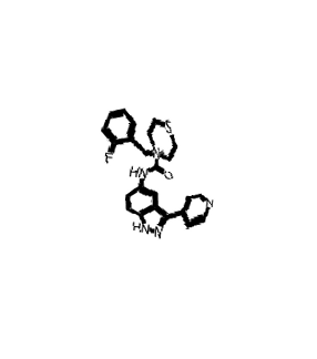 O=C(Nc1ccc2[nH]nc(-c3ccncc3)c2c1)[N+]1(Cc2ccccc2F)CCSCC1